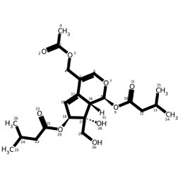 CC(=O)OCC1=CO[C@@H](OC(=O)CC(C)C)[C@H]2C1=C[C@H](OC(=O)CC(C)C)[C@]2(O)CO